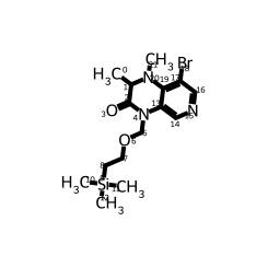 CC1C(=O)N(COCC[Si](C)(C)C)c2cncc(Br)c2N1C